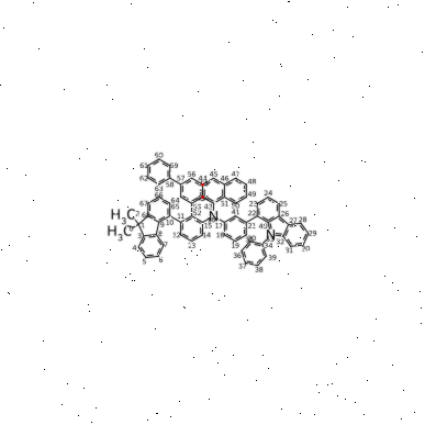 CC1(C)c2ccccc2-c2c(-c3cccc(N(c4cccc(-c5cccc6c7ccccc7n(-c7ccccc7)c56)c4)c4cccc5ccccc45)c3-c3cccc(-c4ccccc4)c3)cccc21